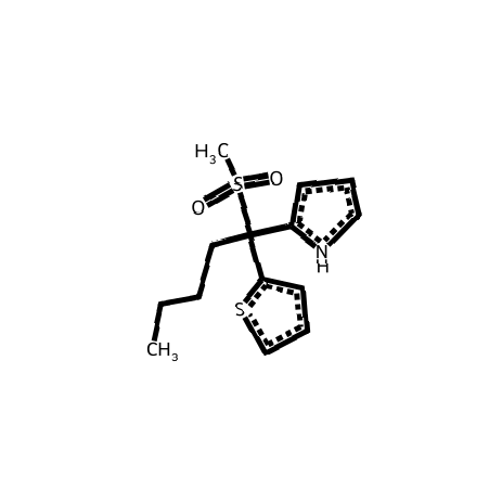 CCCCC(c1ccc[nH]1)(c1cccs1)S(C)(=O)=O